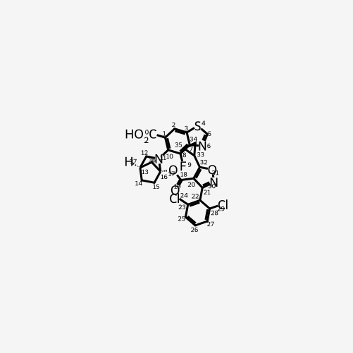 O=C(O)c1cc2scnc2c(F)c1N1C[C@@H]2CC[C@@]1(OC(=O)c1c(-c3c(Cl)cccc3Cl)noc1C1CC1)C2